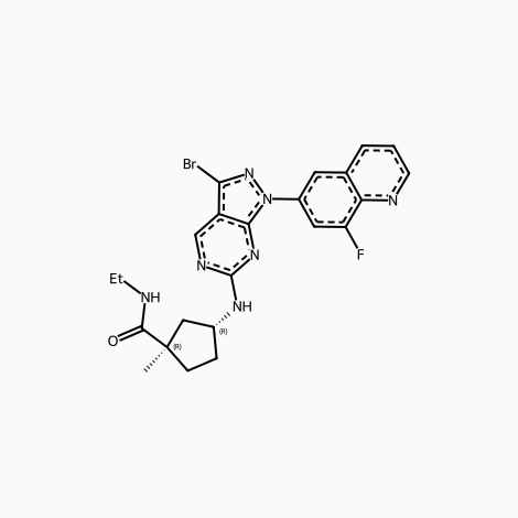 CCNC(=O)[C@]1(C)CC[C@@H](Nc2ncc3c(Br)nn(-c4cc(F)c5ncccc5c4)c3n2)C1